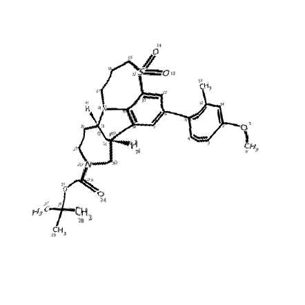 COc1ccc(-c2cc3c4c(c2)S(=O)(=O)CCCN4[C@H]2CCN(C(=O)OC(C)(C)C)C[C@@H]32)c(C)c1